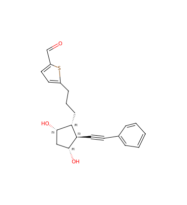 O=Cc1ccc(CCC[C@@H]2[C@@H](C#Cc3ccccc3)[C@H](O)C[C@@H]2O)s1